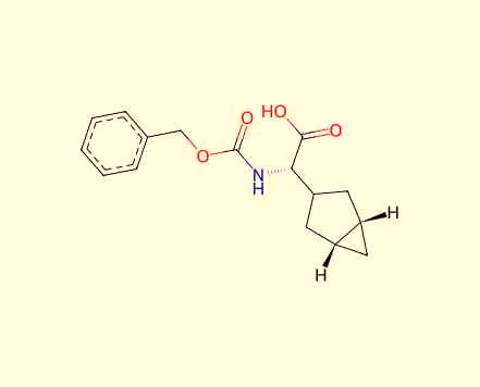 O=C(N[C@H](C(=O)O)C1C[C@@H]2C[C@@H]2C1)OCc1ccccc1